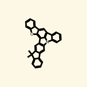 CC1(C)c2ccccc2-c2cc3c(cc21)c1c2oc4ccccc4c2cc2c4ccccc4n3c21